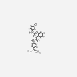 CN(C)c1ccc(NC(=O)[C@H](OC(=O)Nc2ccc(Cl)s2)c2ccccc2)cc1